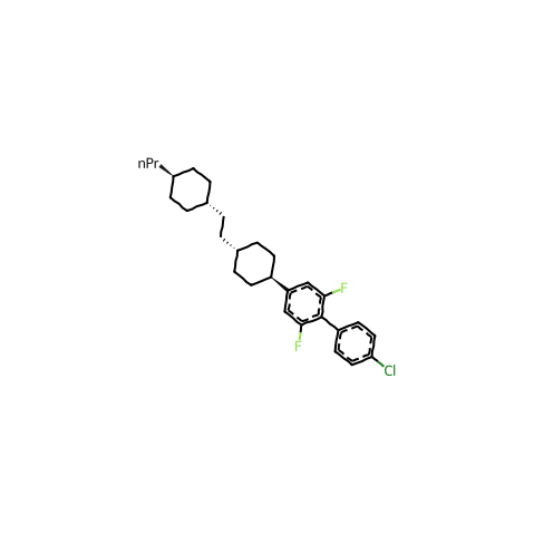 CCC[C@H]1CC[C@H](CC[C@H]2CC[C@H](c3cc(F)c(-c4ccc(Cl)cc4)c(F)c3)CC2)CC1